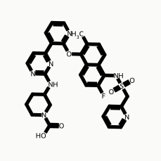 Cc1ccc2c(NS(=O)(=O)Cc3ccccn3)c(F)ccc2c1Oc1ncccc1-c1ccnc(NC2CCCN(C(=O)O)C2)n1